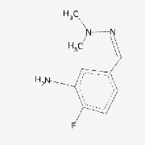 CN(C)/N=C\c1ccc(F)c(N)c1